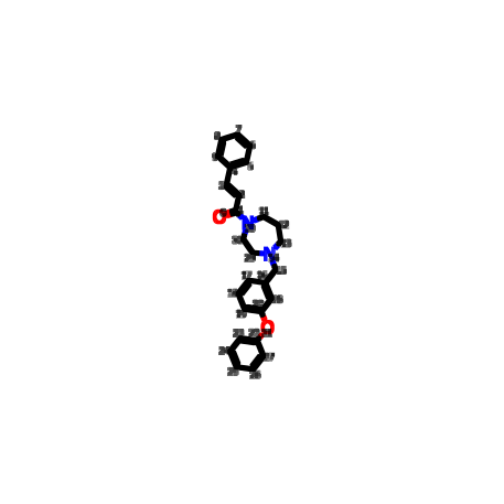 O=C(C=Cc1ccccc1)N1CCCN(Cc2cccc(Oc3ccccc3)c2)CC1